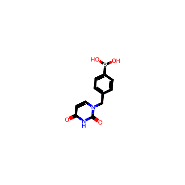 O=c1ccn(Cc2ccc(B(O)O)cc2)c(=O)[nH]1